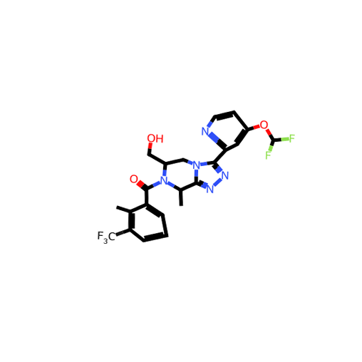 Cc1c(C(=O)N2C(CO)Cn3c(-c4cc(OC(F)F)ccn4)nnc3C2C)cccc1C(F)(F)F